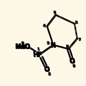 CO[PH](=O)N1CCCCC1=O